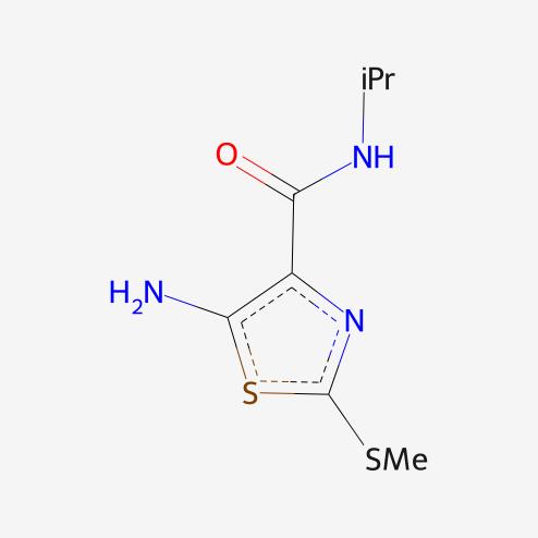 CSc1nc(C(=O)NC(C)C)c(N)s1